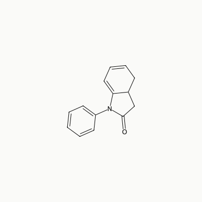 O=C1CC2CC=CC=C2N1c1ccccc1